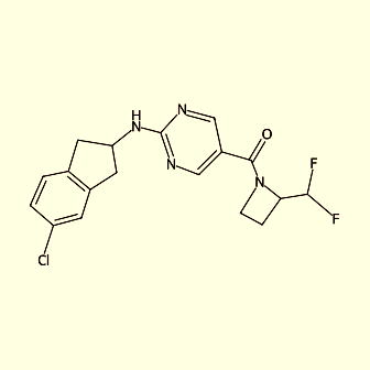 O=C(c1cnc(NC2Cc3ccc(Cl)cc3C2)nc1)N1CCC1C(F)F